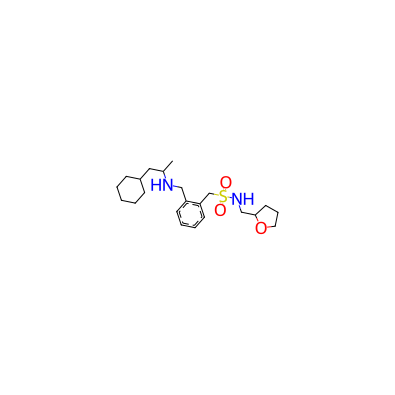 CC(CC1CCCCC1)NCc1ccccc1CS(=O)(=O)NCC1CCCO1